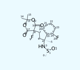 C[S@@+]([O-])N[C@@](C)(CCC1(F)C(=O)OC(C)(C)OC1=O)c1ccccc1F